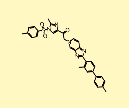 Cc1ccc(-c2ccc(-c3nc4ccn(CC(=O)c5cn(S(=O)(=O)c6ccc(C)cc6)c(C)n5)cc-4n3)c(C)c2)cc1